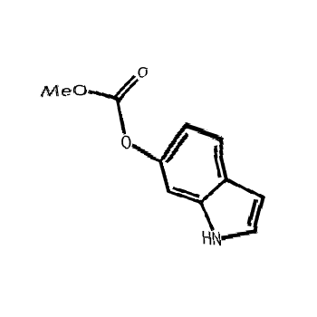 COC(=O)Oc1ccc2cc[nH]c2c1